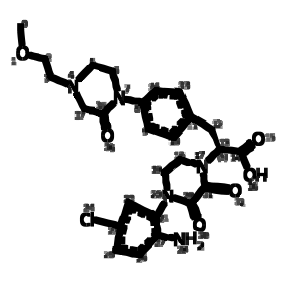 COCCN1CCN(c2ccc(C[C@@H](C(=O)O)N3CCN(c4cc(Cl)ccc4N)C(=O)C3=O)cc2)C(=O)C1